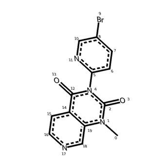 Cn1c(=O)n(-c2ccc(Br)cn2)c(=O)c2ccncc21